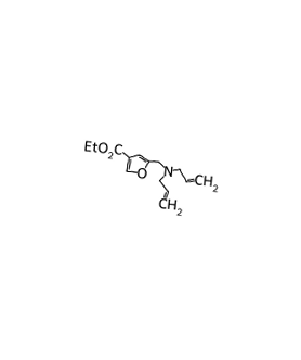 C=CCN(CC=C)Cc1cc(C(=O)OCC)co1